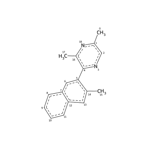 Cc1cnc(-c2cc3ccccc3cc2C)c(C)n1